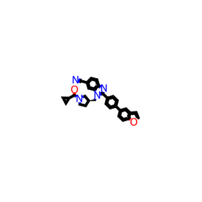 N#Cc1ccc2nc(-c3ccc(-c4ccc5occc5c4)cc3)n(C[C@H]3CCN(C(=O)C4CC4)C3)c2c1